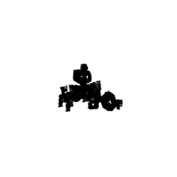 Cc1ccc(CN/C(=N/C(=O)c2ccc(F)cc2)Nc2cc(C(F)(F)F)n[nH]2)o1